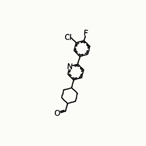 O=CC1CCC(c2ccc(-c3ccc(F)c(Cl)c3)nc2)CC1